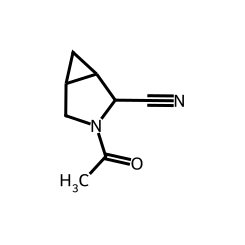 CC(=O)N1CC2CC2C1C#N